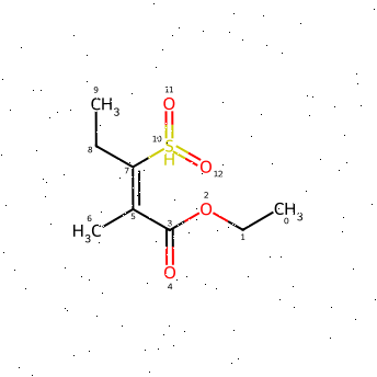 CCOC(=O)C(C)=C(CC)[SH](=O)=O